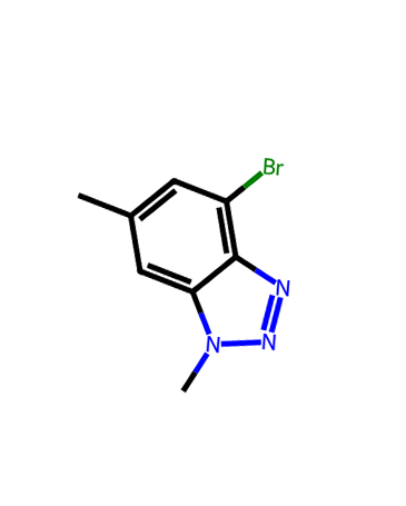 Cc1cc(Br)c2nnn(C)c2c1